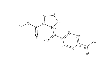 COC(=O)C1CCCN1C(=O)c1ccc(C(C)C)cc1